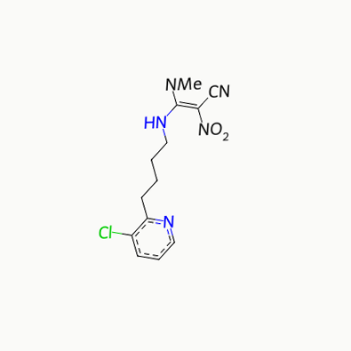 CNC(NCCCCc1ncccc1Cl)=C(C#N)[N+](=O)[O-]